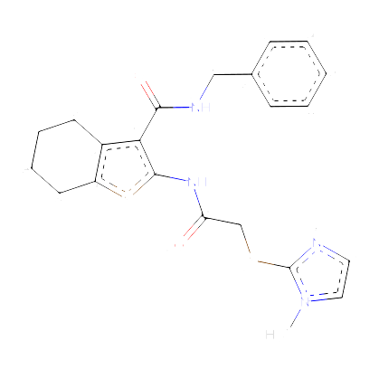 Cn1ccnc1SCC(=O)Nc1sc2c(c1C(=O)NCc1ccccc1)CCCC2